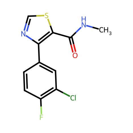 CNC(=O)c1scnc1-c1ccc(F)c(Cl)c1